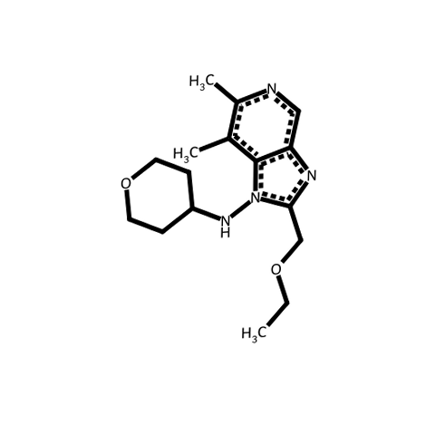 CCOCc1nc2cnc(C)c(C)c2n1NC1CCOCC1